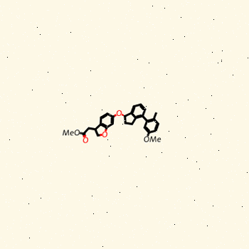 COC(=O)CC1COc2cc(O[C@@H]3CCc4c(-c5cc(OC)ccc5C)cccc43)ccc21